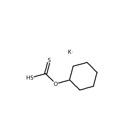 S=C(S)OC1CCCCC1.[K]